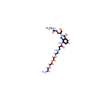 CNC(=O)CCC(C=O)N1Cc2c(NC(=O)CCNCCOCCOCCOCCN)cccc2C1=O